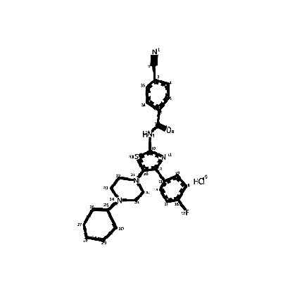 Cl.N#Cc1ccc(C(=O)Nc2nc(-c3ccc(F)cc3)c(N3CCN(C4CCCCC4)CC3)s2)cc1